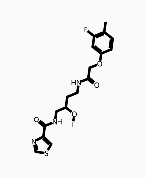 Cc1ccc(OCC(=O)NCCC(CNC(=O)c2cscn2)OI)cc1F